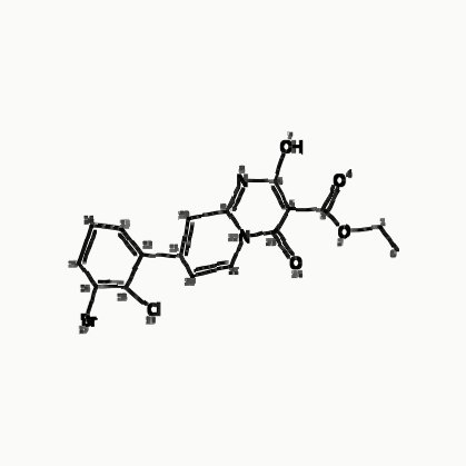 CCOC(=O)c1c(O)nc2cc(-c3cccc(Br)c3Cl)ccn2c1=O